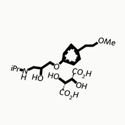 COCCc1ccc(OCC(O)CNC(C)C)cc1.O=C(O)[C@H](O)[C@@H](O)C(=O)O